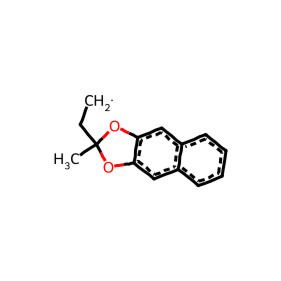 [CH2]CC1(C)Oc2cc3ccccc3cc2O1